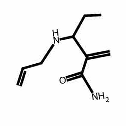 C=CCNC(CC)C(=C)C(N)=O